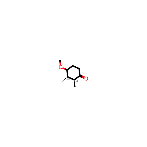 COC1CCC(=O)[C@@H](C)[C@@H]1C